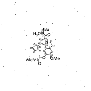 CNC(=O)COc1cc2c(cc1OC)CCn1c(C(=O)N(C)C(C)(C)C)cc(-c3cccs3)c1-2